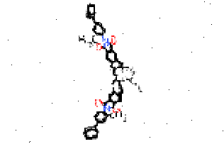 Cc1cc2cc3c(cc2cc1CCc1cc2cc4c(cc2cc1C)C(=O)N(c1ccc(C2CC5C=CC2C5)cc1C)C4=O)C(=O)N(c1ccc(C2CC4C=CC2C4)cc1C)C3=O